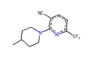 CC1CCN(c2nc(C(F)(F)F)ccc2C#N)CC1